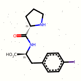 O=C(O)[C@H](Cc1ccc(I)cc1)NC(=O)[C@@H]1CCCN1